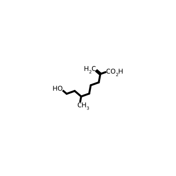 C=C(CCCC(C)CCO)C(=O)O